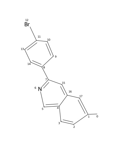 Cc1ccc2cnc(-c3ccc(Br)cc3)cc2c1